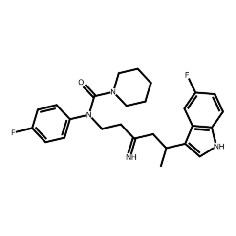 CC(CC(=N)CCN(C(=O)N1CCCCC1)c1ccc(F)cc1)c1c[nH]c2ccc(F)cc12